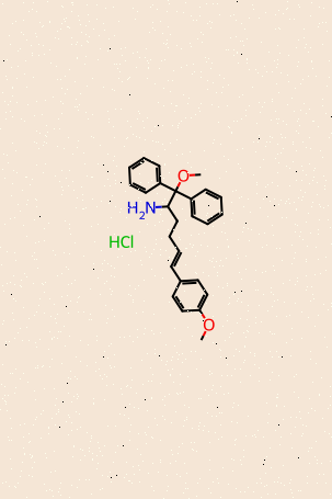 COc1ccc(C=CCCC(N)C(OC)(c2ccccc2)c2ccccc2)cc1.Cl